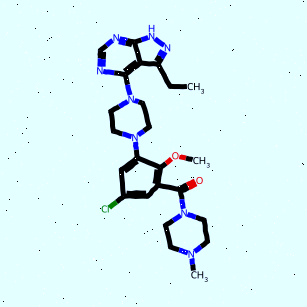 CCc1n[nH]c2ncnc(N3CCN(c4cc(Cl)cc(C(=O)N5CCN(C)CC5)c4OC)CC3)c12